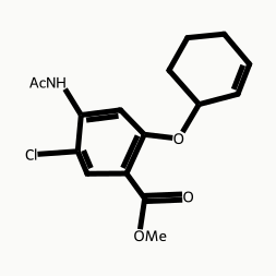 COC(=O)c1cc(Cl)c(NC(C)=O)cc1OC1C=CCCC1